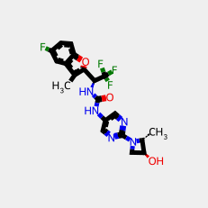 Cc1c([C@H](NC(=O)Nc2cnc(N3C[C@H](O)[C@H]3C)nc2)C(F)(F)F)oc2ccc(F)cc12